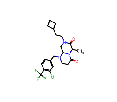 CC1C(=O)N(CCC2CCC2)CC2N(Cc3ccc(C(F)(F)F)c(Cl)c3)CCC(=O)N12